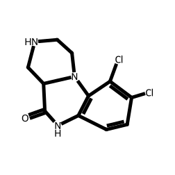 O=C1Nc2ccc(Cl)c(Cl)c2N2CCNCC12